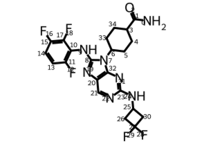 NC(=O)C1CCC(n2c(Nc3c(F)ccc(F)c3F)nc3cnc(NC4CC(F)(F)C4)nc32)CC1